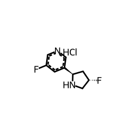 Cl.Fc1cncc([C@H]2C[C@H](F)CN2)c1